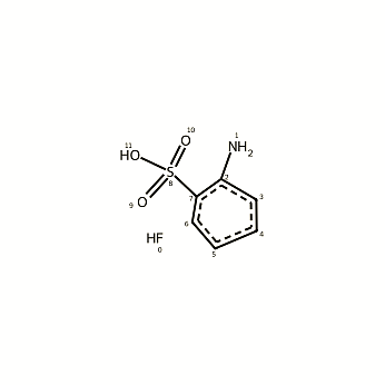 F.Nc1ccccc1S(=O)(=O)O